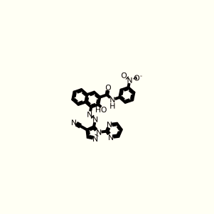 N#Cc1cnn(-c2ncccn2)c1/N=N/c1c(O)c(C(=O)Nc2cccc([N+](=O)[O-])c2)cc2ccccc12